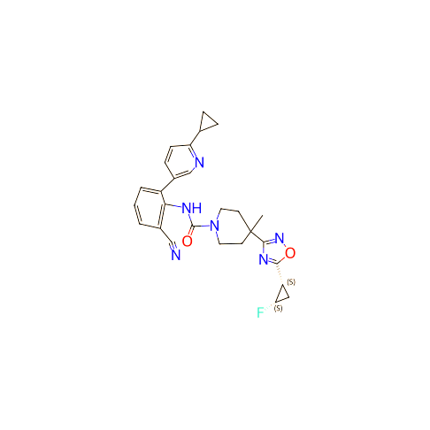 CC1(c2noc([C@@H]3C[C@@H]3F)n2)CCN(C(=O)Nc2c(C#N)cccc2-c2ccc(C3CC3)nc2)CC1